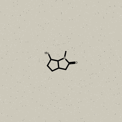 CN1C(=O)CC2CCC(C(C)(C)C)C21